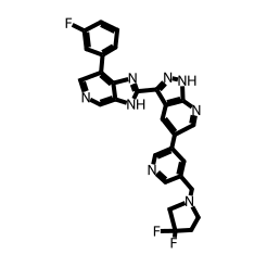 Fc1cccc(-c2cncc3[nH]c(-c4n[nH]c5ncc(-c6cncc(CN7CCC(F)(F)C7)c6)cc45)nc23)c1